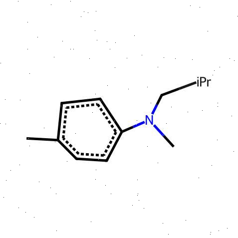 Cc1ccc(N(C)CC(C)C)cc1